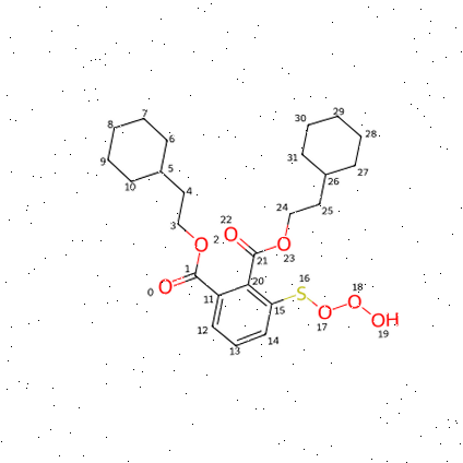 O=C(OCCC1CCCCC1)c1cccc(SOOO)c1C(=O)OCCC1CCCCC1